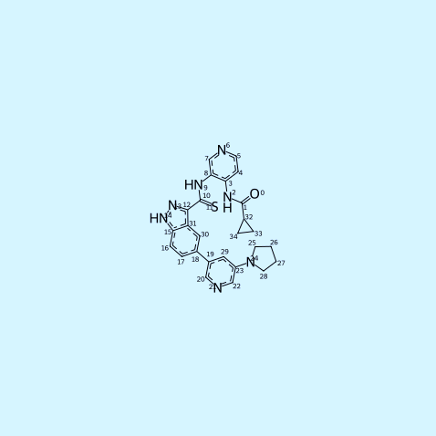 O=C(Nc1ccncc1NC(=S)c1n[nH]c2ccc(-c3cncc(N4CCCC4)c3)cc12)C1CC1